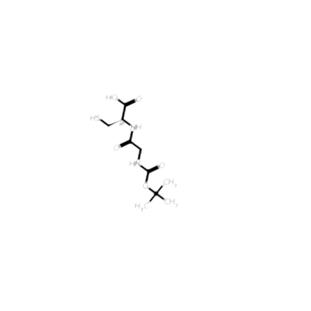 CC(C)(C)OC(=O)NCC(=O)N[C@@H](CS)C(=O)O